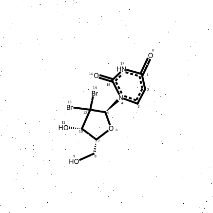 O=c1ccn([C@H]2O[C@H](CO)[C@H](O)C2(Br)Br)c(=O)[nH]1